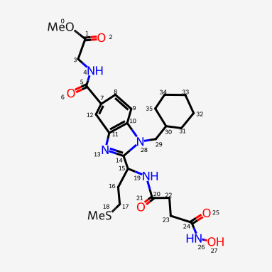 COC(=O)CNC(=O)c1ccc2c(c1)nc(C(CCSC)NC(=O)CCC(=O)NO)n2CC1CCCCC1